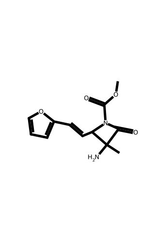 COC(=O)N1C(=O)C(C)(N)C1C=Cc1ccco1